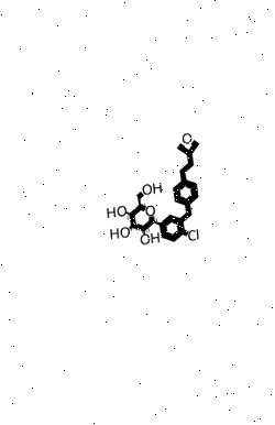 OC[C@H]1O[C@@H](c2ccc(Cl)c(Cc3ccc(CCC4COC4)cc3)c2)[C@H](O)[C@@H](O)[C@@H]1O